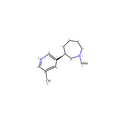 CNN1CCCC[C@H](c2cncc(C#N)c2)C1